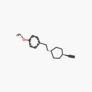 C#C[C@H]1CC[C@H](CCc2ccc(OCCC)cc2)CC1